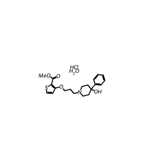 COC(=O)c1sccc1OCCCN1CCC(O)(c2ccccc2)CC1.Cl.O